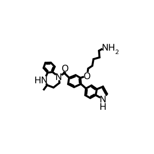 CC1CCN(C(=O)c2ccc(-c3ccc4[nH]ccc4c3)c(OCCCCCN)c2)c2ccccc2N1